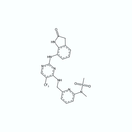 CN(c1cccc(CNc2nc(Nc3cccc4c3NC(=O)C4)ncc2C(F)(F)F)n1)S(C)(=O)=O